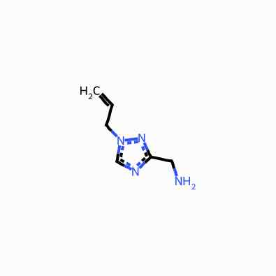 C=CCn1cnc(CN)n1